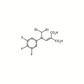 CCC(CC)N(C=C(C(=O)O)C(=O)O)c1cc(F)c(F)c(F)c1